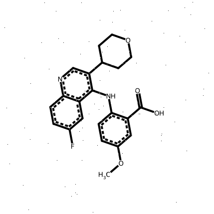 COc1ccc(Nc2c(C3CCOCC3)cnc3ccc(F)cc23)c(C(=O)O)c1